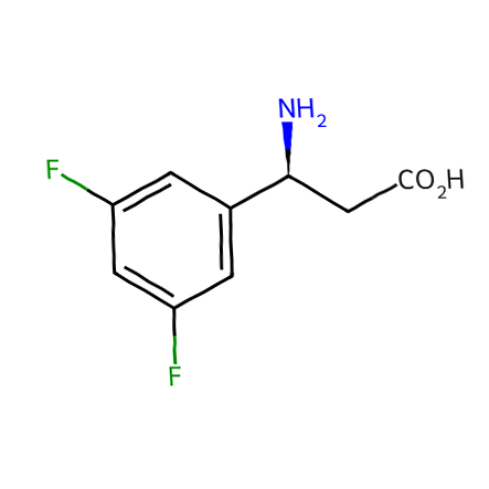 N[C@@H](CC(=O)O)c1cc(F)cc(F)c1